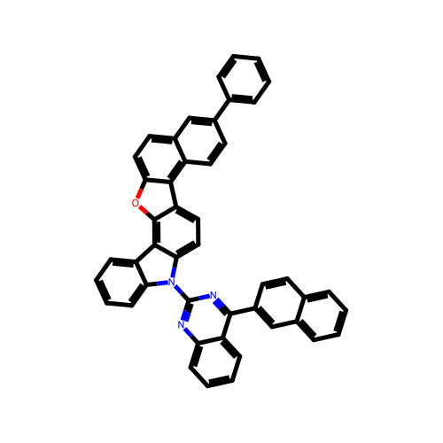 c1ccc(-c2ccc3c(ccc4oc5c(ccc6c5c5ccccc5n6-c5nc(-c6ccc7ccccc7c6)c6ccccc6n5)c43)c2)cc1